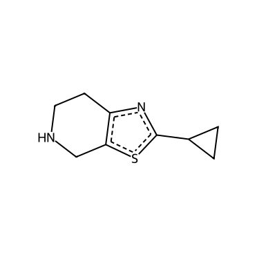 C1Cc2nc(C3CC3)sc2CN1